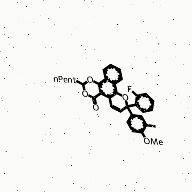 CCCCCC1OC(=O)c2c3c(c4ccccc4c2O1)OC(c1ccc(OC)c(C)c1)(c1ccccc1F)C=C3